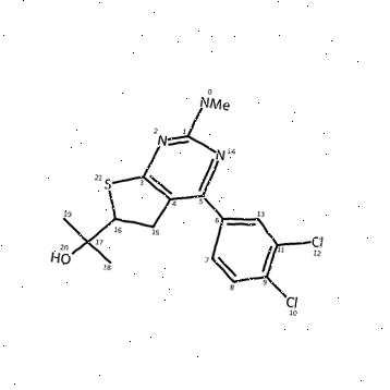 CNc1nc2c(c(-c3ccc(Cl)c(Cl)c3)n1)CC(C(C)(C)O)S2